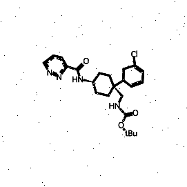 CC(C)(C)OC(=O)NC[C@]1(C2C=CC=C(Cl)C2)CC[C@H](NC(=O)c2cccnn2)CC1